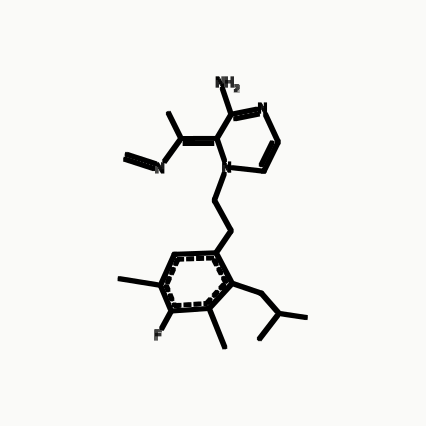 C=N/C(C)=C1/C(N)=NC=CN1CCc1cc(C)c(F)c(C)c1CC(C)C